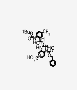 CC(C)(C)OC(=O)Nc1ccc(C(F)(F)F)cc1C(=O)NC(C=O)NC1CN(C(=O)O)CCC1NC(=O)OCc1ccccc1